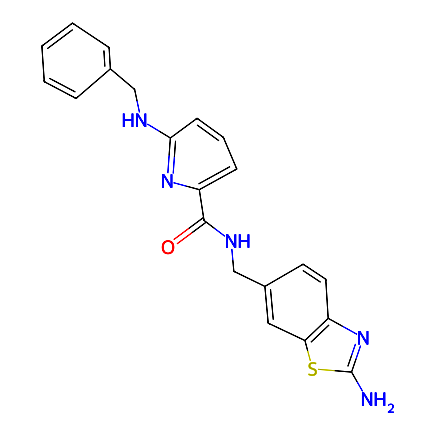 Nc1nc2ccc(CNC(=O)c3cccc(NCc4ccccc4)n3)cc2s1